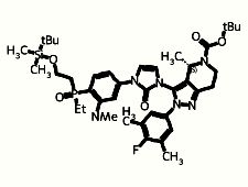 CCP(=O)(CCO[Si](C)(C)C(C)(C)C)c1ccc(-n2ccn(-c3c4c(nn3-c3cc(C)c(F)c(C)c3)CCN(C(=O)OC(C)(C)C)[C@H]4C)c2=O)cc1NC